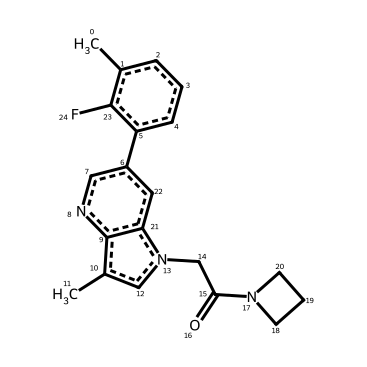 Cc1cccc(-c2cnc3c(C)cn(CC(=O)N4CCC4)c3c2)c1F